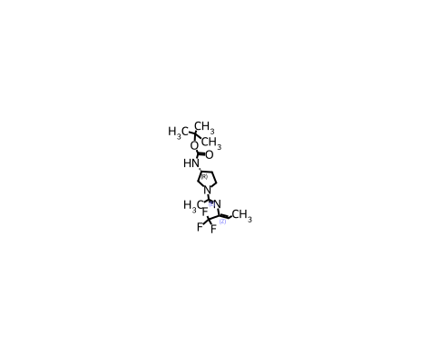 C/C=C(\N=C(/C)N1CC[C@@H](NC(=O)OC(C)(C)C)C1)C(F)(F)F